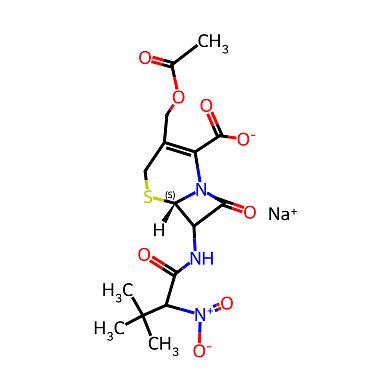 CC(=O)OCC1=C(C(=O)[O-])N2C(=O)C(NC(=O)C([N+](=O)[O-])C(C)(C)C)[C@@H]2SC1.[Na+]